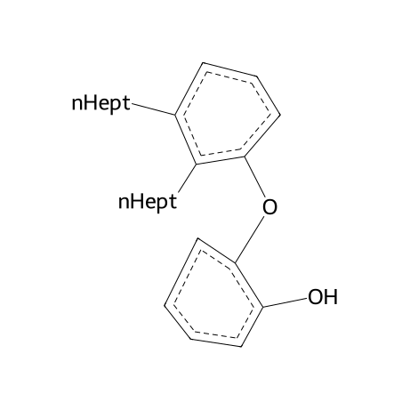 CCCCCCCc1cccc(Oc2ccccc2O)c1CCCCCCC